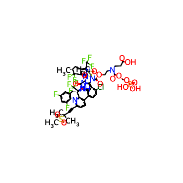 C[C@@H]1Cc2c(C(F)(F)F)nn(CC(=O)N[C@@H](Cc3cc(F)cc(F)c3)c3nc(C#CC(C)(C)S(C)(=O)=O)ccc3-c3ccc(Cl)c4c(N(C(=O)OCCN(CCC(=O)O)C(=O)OCOP(=O)(O)O)S(C)(=O)=O)nn(CC(F)(F)F)c34)c2C1(F)F